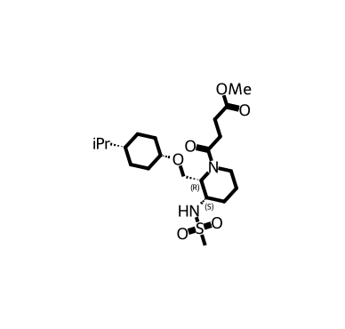 COC(=O)CCC(=O)N1CCC[C@H](NS(C)(=O)=O)[C@@H]1CO[C@H]1CC[C@@H](C(C)C)CC1